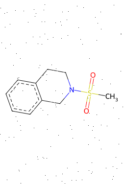 CS(=O)(=O)N1CCc2[c]cccc2C1